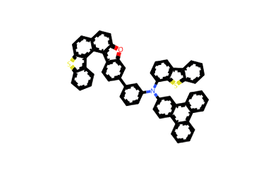 c1cc(-c2ccc3c(c2)oc2ccc4ccc5sc6ccccc6c5c4c23)cc(N(c2ccc3c4ccccc4c4ccccc4c3c2)c2cccc3c2sc2ccccc23)c1